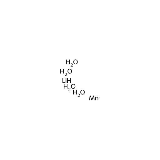 O.O.O.O.[LiH].[Mn]